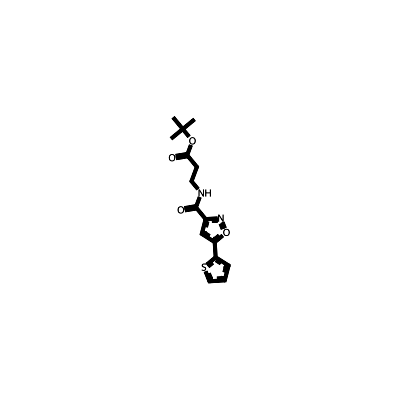 CC(C)(C)OC(=O)CCNC(=O)c1cc(-c2cccs2)on1